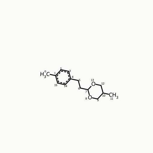 Cc1ccc(CCC2OCC(C)CO2)cc1